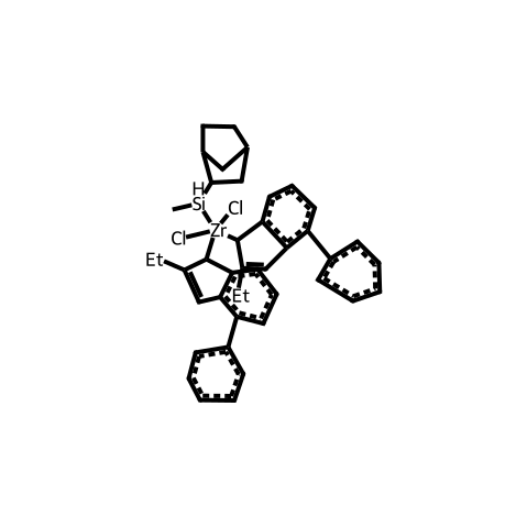 CCC1=Cc2c(-c3ccccc3)cccc2[CH]1[Zr]([Cl])([Cl])([CH]1C(CC)=Cc2c(-c3ccccc3)cccc21)[SiH](C)C1CC2CCC1C2